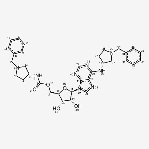 O=C(N[C@@H]1CCN(Cc2ccccc2)C1)OC[C@H]1O[C@@H](n2cnc3c(N[C@@H]4CCN(Cc5ccccc5)C4)ncnc32)[C@H](O)[C@@H]1O